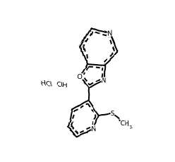 CSc1ncccc1-c1nc2cnccc2o1.Cl.Cl